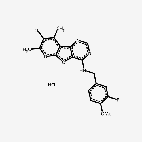 COc1ccc(CNc2ncnc3c2oc2nc(C)c(Cl)c(C)c23)cc1F.Cl